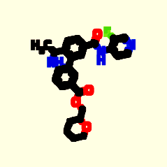 CC(N)c1ccc(C(=O)Nc2ccncc2F)cc1-c1cccc(C(=O)OCC2CCCCO2)c1